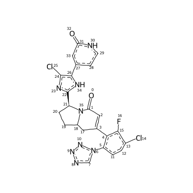 O=C1C=C(c2c(-n3cnnn3)ccc(Cl)c2F)CC2CC[C@@H](c3nc(Cl)c(-c4cc[nH]c(=O)c4)[nH]3)N12